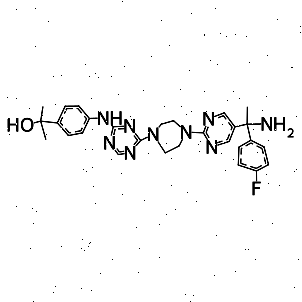 CC(C)(O)c1ccc(Nc2ncnc(N3CCN(c4ncc(C(C)(N)c5ccc(F)cc5)cn4)CC3)n2)cc1